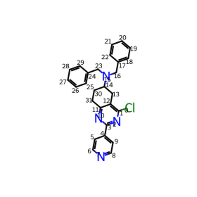 Clc1nc(-c2ccncc2)nc2c1CC(N(Cc1ccccc1)Cc1ccccc1)CC2